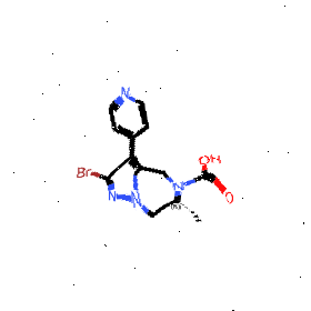 C[C@@H]1Cn2nc(Br)c(-c3ccncc3)c2CN1C(=O)O